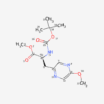 COC(=O)[C@H](Cc1cnc(OC)cn1)NC(=O)OC(C)(C)C